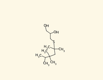 CC(C)C(C)(C)CC(C)(C)SCC(O)CO